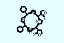 S=C1OCC=C1c1c2nc(c(C3=CCOC3=S)c3ccc([nH]3)c(-c3ccccc3)c3nc(c(-c4ccccc4)c4ccc1[nH]4)C=C3)C=C2